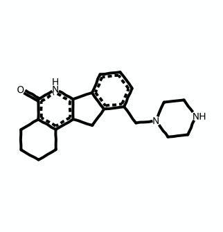 O=c1[nH]c2c(c3c1CCCC3)Cc1c(CN3CCNCC3)cccc1-2